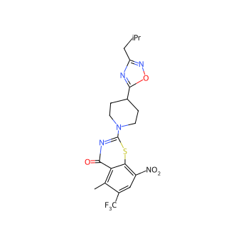 Cc1c(C(F)(F)F)cc([N+](=O)[O-])c2sc(N3CCC(c4nc(CC(C)C)no4)CC3)nc(=O)c12